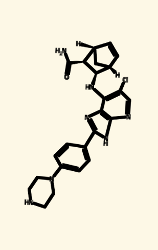 NC(=O)[C@@H]1[C@H](Nc2c(Cl)cnc3[nH]c(-c4ccc(N5CCNCC5)cc4)nc23)[C@H]2C=C[C@@H]1C2